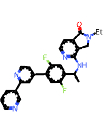 CCN1Cc2c(ccnc2NC(C)c2cc(F)c(-c3ccnc(-c4cccnc4)c3)cc2F)C1=O